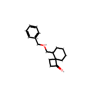 O=C1CCC12CCCCC2COCc1ccccc1